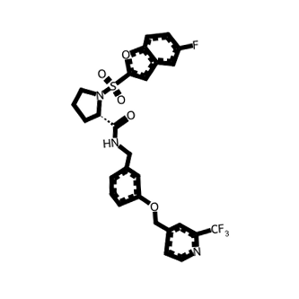 O=C(NCc1cccc(OCc2ccnc(C(F)(F)F)c2)c1)[C@@H]1CCCN1S(=O)(=O)c1cc2cc(F)ccc2o1